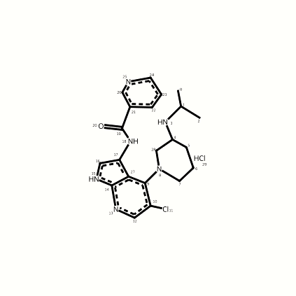 CC(C)NC1CCCN(c2c(Cl)cnc3[nH]cc(NC(=O)c4cccnc4)c23)C1.Cl